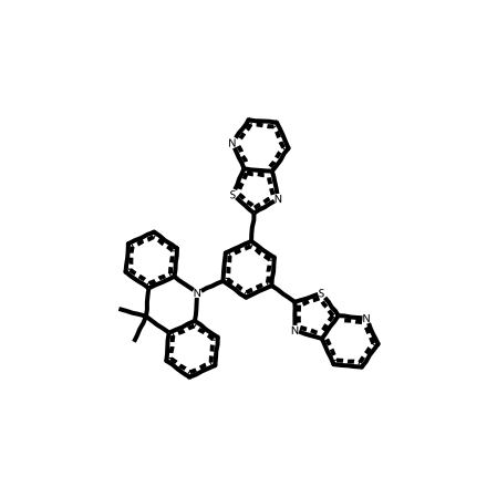 CC1(C)c2ccccc2N(c2cc(-c3nc4cccnc4s3)cc(-c3nc4cccnc4s3)c2)c2ccccc21